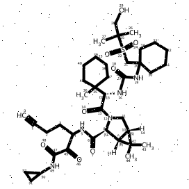 C#CCCC(NC(=O)[C@@H]1[C@@H]2[C@H](CN1C(=O)[C@@H](NC(=O)NC1(CS(=O)(=O)C(C)(C)CO)CCCCC1)C1(C)CCCCC1)C2(C)C)C(=O)C(=O)NC1CC1